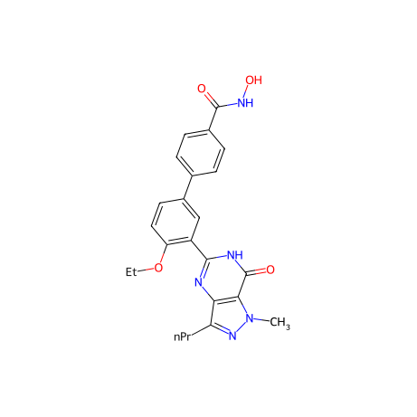 CCCc1nn(C)c2c(=O)[nH]c(-c3cc(-c4ccc(C(=O)NO)cc4)ccc3OCC)nc12